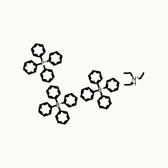 CC[NH+](CC)CC.c1ccc([B-](c2ccccc2)(c2ccccc2)c2ccccc2)cc1.c1ccc([B-](c2ccccc2)(c2ccccc2)c2ccccc2)cc1.c1ccc([P+](c2ccccc2)(c2ccccc2)c2ccccc2)cc1